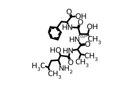 CC(C)CC(N)C(O)C(=O)NC(C(=O)N[C@H](C(=O)NC(Cc1ccccc1)C(=O)O)[C@@H](C)O)C(C)C